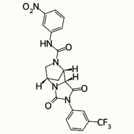 O=C1[C@H]2[C@@H]3C[C@@H](CN3C(=O)Nc3cccc([N+](=O)[O-])c3)N2C(=O)N1c1cccc(C(F)(F)F)c1